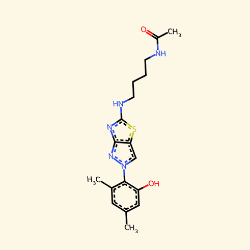 CC(=O)NCCCCNc1nc2nn(-c3c(C)cc(C)cc3O)cc2s1